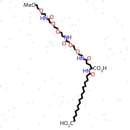 COCCOCCNC(=O)COCCOCCNC(=O)COCCOCCNC(=O)CC[C@H](NC(=O)CCCCCCCCCCCCCCCCC(=O)O)C(=O)O